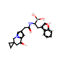 O=C(Cc1cc2n(c1)CC1(CC1)CC2=O)NC(Cc1coc2ccccc12)B(O)O